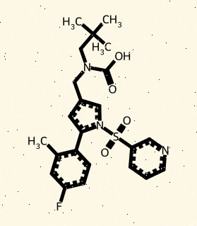 Cc1cc(F)ccc1-c1cc(CN(CC(C)(C)C)C(=O)O)cn1S(=O)(=O)c1cccnc1